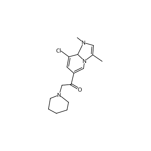 CC1=CN(C)C2C(Cl)=CC(C(=O)CN3CCCCC3)=CN12